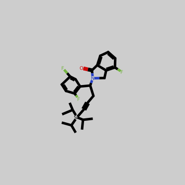 CC(C)[Si](C#CCC(c1cc(F)ccc1F)N1Cc2c(F)cccc2C1=O)(C(C)C)C(C)C